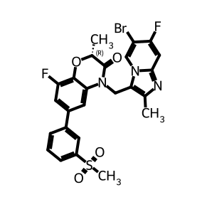 Cc1nc2cc(F)c(Br)cn2c1CN1C(=O)[C@@H](C)Oc2c(F)cc(-c3cccc(S(C)(=O)=O)c3)cc21